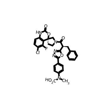 CN(C(=O)O)c1ccc(-c2nnc([C@H](Cc3ccccc3)C(=O)N3CC[C@@]4(C3)OC(=O)Nc3ccc(Cl)c(F)c34)o2)cc1